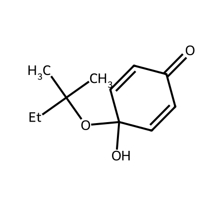 CCC(C)(C)OC1(O)C=CC(=O)C=C1